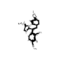 C=C1CN=C(C(=Cc2ccc(Cl)cc2)c2ccc(F)cc2F)O1